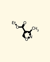 CCOC(=O)c1conc1C